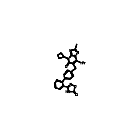 CCCc1c(Cc2ccc(-c3ccccc3-c3noc(=O)[nH]3)cc2)c(=O)n(C2CCC2)c2nc(C)nn12